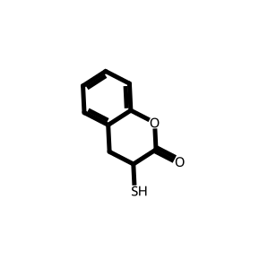 O=C1Oc2ccccc2CC1S